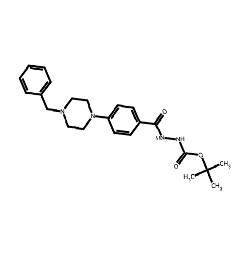 CC(C)(C)OC(=O)NNC(=O)c1ccc(N2CCN(Cc3ccccc3)CC2)cc1